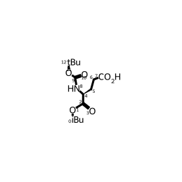 CCC(C)OC(=O)[C@H](CCC(=O)O)NC(=O)OC(C)(C)C